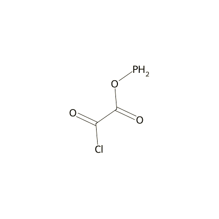 O=C(Cl)C(=O)OP